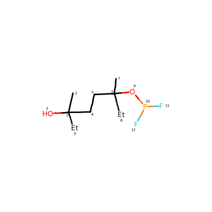 CCC(C)(O)CCC(C)(CC)OP(F)F